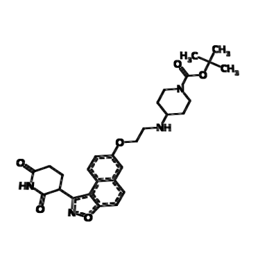 CC(C)(C)OC(=O)N1CCC(NCCOc2ccc3c(ccc4onc(C5CCC(=O)NC5=O)c43)c2)CC1